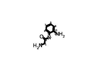 NCC(=O)[N]c1ccccc1N